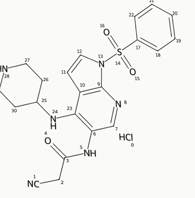 Cl.N#CCC(=O)Nc1cnc2c(ccn2S(=O)(=O)c2ccccc2)c1NC1CCNCC1